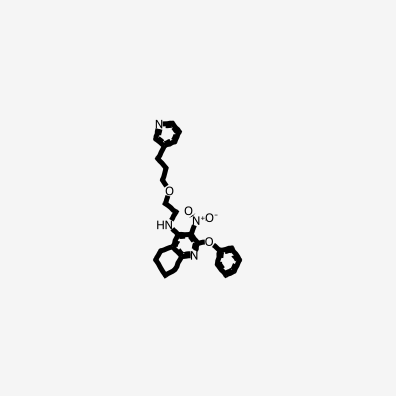 O=[N+]([O-])c1c(Oc2ccccc2)nc2c(c1NCCOCCCc1cccnc1)CCCC2